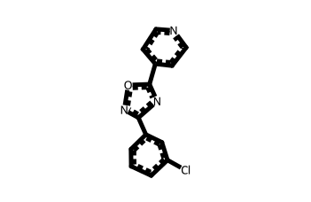 Clc1cccc(-c2noc(-c3ccncc3)n2)c1